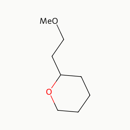 COCCC1CCCCO1